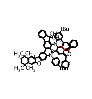 CC(C)(C)c1ccc(N2B3c4cc5c(-c6ccccc6)oc(-c6ccccc6)c5cc4N(c4ccc(C(C)(C)C)cc4-c4ccccc4)c4c3c(cc3c4C(C)(C)c4ccccc4-3)-c3cc4c(cc32)oc2cc3c(cc24)C(C)(C)CCC3(C)C)cc1